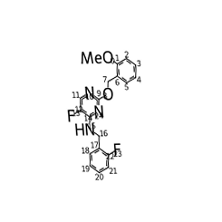 COc1ccccc1COc1ncc(F)c(NCc2ccccc2F)n1